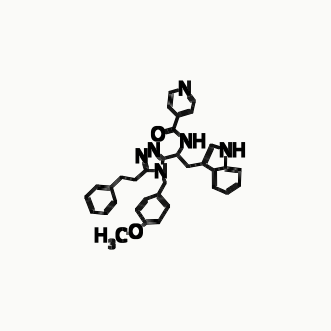 COc1ccc(Cn2c(CCc3ccccc3)nnc2C(Cc2c[nH]c3ccccc23)NC(=O)c2ccncc2)cc1